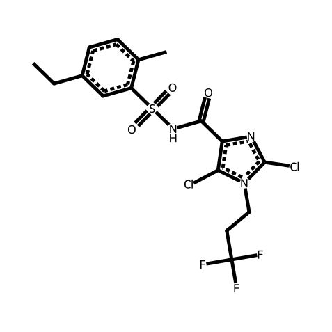 CCc1ccc(C)c(S(=O)(=O)NC(=O)c2nc(Cl)n(CCC(F)(F)F)c2Cl)c1